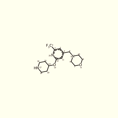 FC(F)(F)c1cc(CN2CCOCC2)cc(OC2CCNCC2)n1